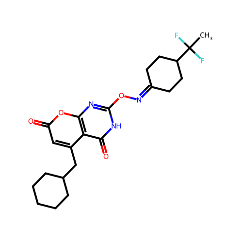 CC(F)(F)C1CCC(=NOc2nc3oc(=O)cc(CC4CCCCC4)c3c(=O)[nH]2)CC1